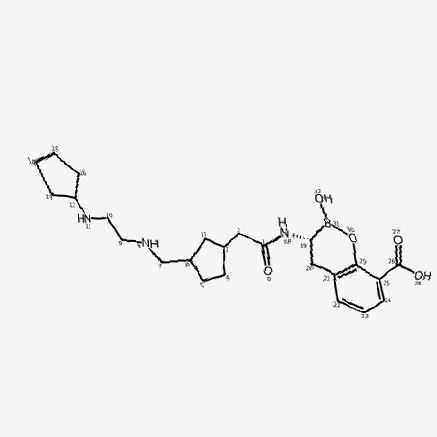 O=C(CC1CCC(CNCCNC2CCCC2)C1)N[C@H]1Cc2cccc(C(=O)O)c2OB1O